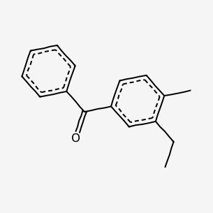 CCc1cc(C(=O)c2ccccc2)ccc1C